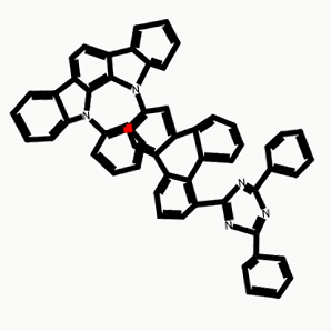 c1ccc(-c2nc(-c3ccccc3)nc(-c3cccc4c5ccc(-n6c7ccccc7c7ccc8c9ccccc9n(-c9ccccc9)c8c76)cc5c5ccccc5c34)n2)cc1